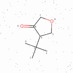 CC(C)(C)C1COCC1=O